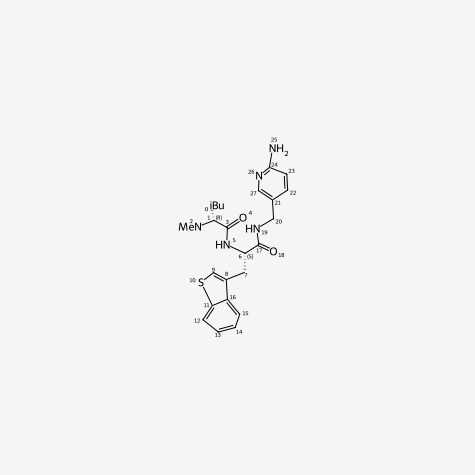 CCC(C)[C@@H](NC)C(=O)N[C@@H](Cc1csc2ccccc12)C(=O)NCc1ccc(N)nc1